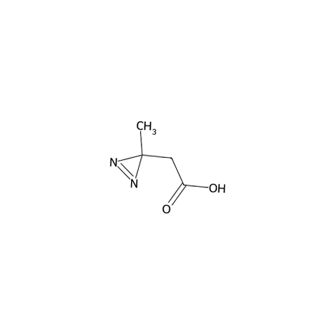 CC1(CC(=O)O)N=N1